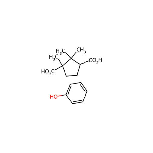 CC1(C(=O)O)CCC(C(=O)O)C1(C)C.Oc1ccccc1